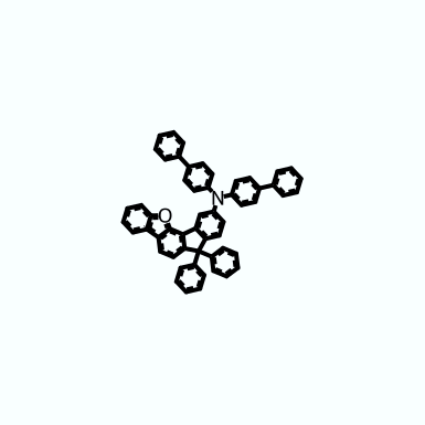 c1ccc(-c2ccc(N(c3ccc(-c4ccccc4)cc3)c3ccc4c(c3)-c3c(ccc5c3oc3ccccc35)C4(c3ccccc3)c3ccccc3)cc2)cc1